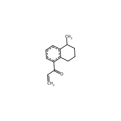 C=CC(=O)c1cccc2c1CCCC2C